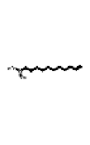 C=CCCCCCCCCCN(CCC)CCCC